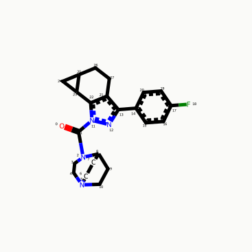 O=C(N1CCN2CCC1CC2)n1nc(-c2ccc(F)cc2)c2c1C1CC1CC2